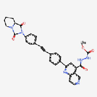 CC(C)(C)OC(=O)NNC(=O)c1cc(-c2ccc(C#Cc3ccc(N4C(=O)C5CCCCN5C4=O)cc3)cc2)nc2ccncc12